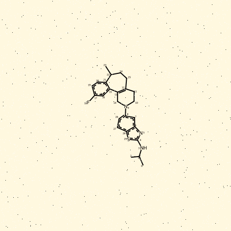 CC(C)Nc1nc2cc(N3CCC4=C(C3)c3cc(F)ccc3C(C)CC4)ccc2s1